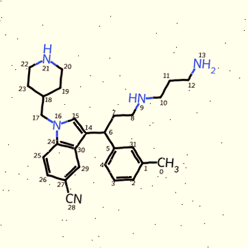 Cc1cccc(C(CCNCCCN)c2cn(CC3CCNCC3)c3ccc(C#N)cc23)c1